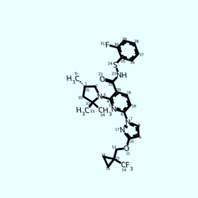 C[C@@H]1CN(c2nc(-n3ccc(OCC4(C(F)(F)F)CC4)n3)ccc2C(=O)NSc2ccccc2F)C(C)(C)C1